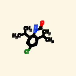 CC(C)c1cc(Cl)cc(C(C)C)c1N[C]=O